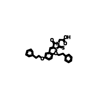 O=C(O)CN1C(=O)C(=Cc2cc(OCCc3ccccc3)ccc2OCCc2ccccc2)SC1=S